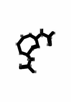 CC(=O)NC1/C=C/C(NC(C)=O)CCCC1